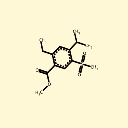 CCc1cc(C(C)C)c(S(C)(=O)=O)cc1C(=O)OC